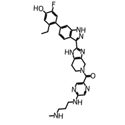 CCc1cc(O)c(F)cc1-c1ccc2c(-c3nc4c([nH]3)CCN(C(=O)c3cnc(NCCCNC)cn3)C4)n[nH]c2c1